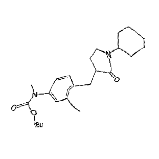 Cc1cc(N(C)C(=O)OC(C)(C)C)ccc1CC1CCN(C2CCCCC2)C1=O